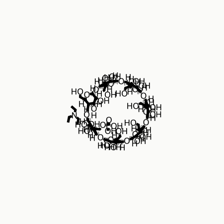 CCN(CC)CC.O=P(O)(O)OC[C@H]1O[C@@H]2O[C@H]3[C@H](O)[C@@H](O)[C@@H](O[C@H]4[C@H](O)[C@@H](O)[C@@H](O[C@H]5[C@H](O)[C@@H](O)[C@@H](O[C@H]6[C@H](O)[C@@H](O)[C@@H](O[C@H]7[C@H](O)[C@@H](O)[C@@H](O[C@H]8[C@H](O)[C@@H](O)[C@@H](O[C@H]1[C@H](O)[C@H]2O)O[C@@H]8CO)O[C@@H]7CO)O[C@@H]6CO)O[C@@H]5CO)O[C@@H]4CO)O[C@@H]3CO